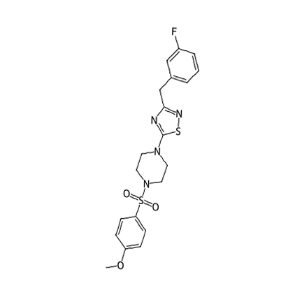 COc1ccc(S(=O)(=O)N2CCN(c3nc(Cc4cccc(F)c4)ns3)CC2)cc1